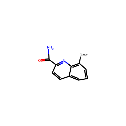 COc1cccc2ccc(C(N)=O)nc12